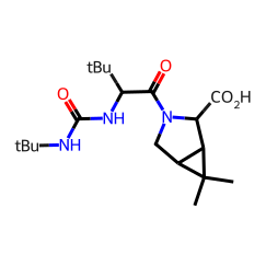 CC(C)(C)NC(=O)NC(C(=O)N1CC2C(C1C(=O)O)C2(C)C)C(C)(C)C